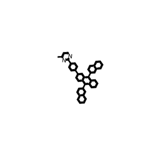 Cc1ccnc(-c2ccc(-c3ccc4c(-c5ccc6ccccc6c5)c5ccccc5c(-c5ccc6ccccc6c5)c4c3)cc2)n1